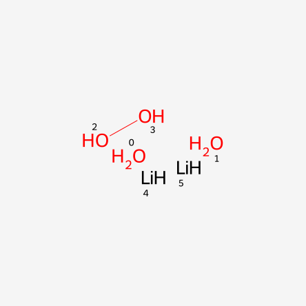 O.O.OO.[LiH].[LiH]